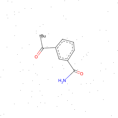 CC(C)(C)C(=O)c1cccc(C(N)=O)c1